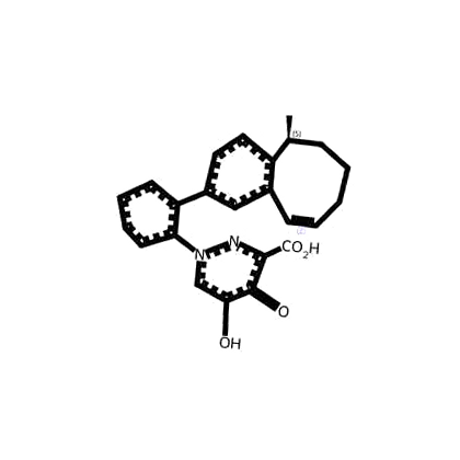 C[C@H]1CCC/C=C\c2cc(-c3ccccc3-n3cc(O)c(=O)c(C(=O)O)n3)ccc21